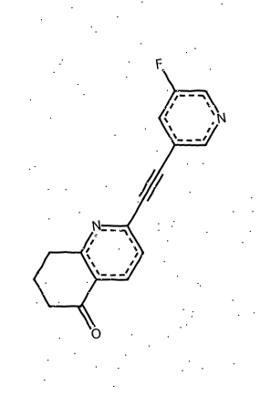 O=C1CCCc2nc(C#Cc3cncc(F)c3)ccc21